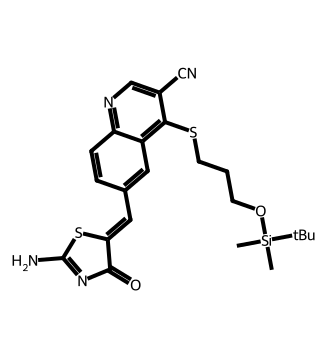 CC(C)(C)[Si](C)(C)OCCCSc1c(C#N)cnc2ccc(/C=C3\SC(N)=NC3=O)cc12